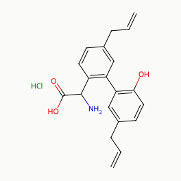 C=CCc1ccc(O)c(-c2cc(CC=C)ccc2C(N)C(=O)O)c1.Cl